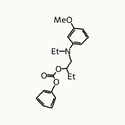 CCC(CN(CC)c1cccc(OC)c1)OC(=O)Oc1ccccc1